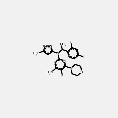 Cc1cc(N(c2nc(N)c(F)c(N3CCOCC3)n2)C(C)c2ncc(F)cc2F)n[nH]1